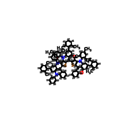 Cc1cc(C)c(N2c3cc(-c4c(C)cccc4C)cc4c3B(c3ccccc3O4)c3sc4c(c32)Oc2cc(-c3c(C)cccc3C)cc3c2B4c2sc4c(c2N3c2c(C)cc(C)cc2C)N(c2ccccc2)c2cc(-c3c(C)cccc3C)cc3c2B4c2ccccc2N3c2ccccc2)c(C)c1